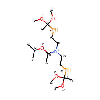 COC(C)(OC)PCCN(CCPC(C)(OC)OC)C(C)OC(C)C